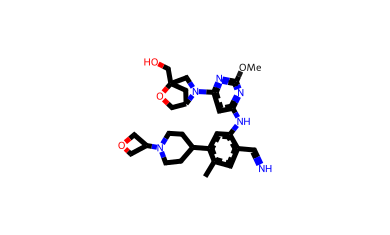 COc1nc(Nc2cc(C3CCN(C4COC4)CC3)c(C)cc2C=N)cc(N2CC3(CO)CC2CO3)n1